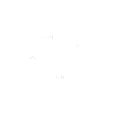 CC(N)C(=O)C1CNCC[N]1